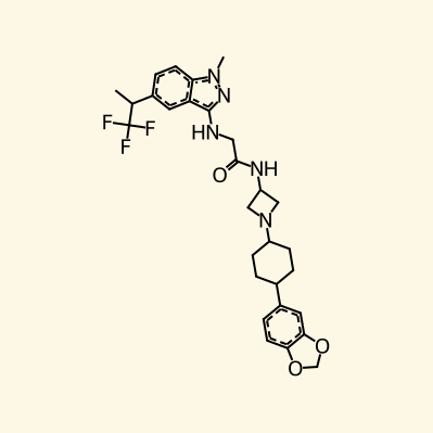 CC(c1ccc2c(c1)c(NCC(=O)NC1CN(C3CCC(c4ccc5c(c4)OCO5)CC3)C1)nn2C)C(F)(F)F